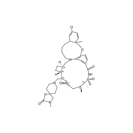 CO[C@@]1(CN2CCC3(CC2)CN(C)C(=O)O3)/C=C/C[C@H](C)[C@@H](C)S(=O)(=O)NC(=O)c2ccc3c(c2)N(CCCCC2C=C(Cl)C=CC2(C)CO3)C[C@@H]2CC[C@H]21